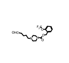 O=CCCCCN1CCN(C(=O)OCc2ccccc2OC(F)(F)F)CC1